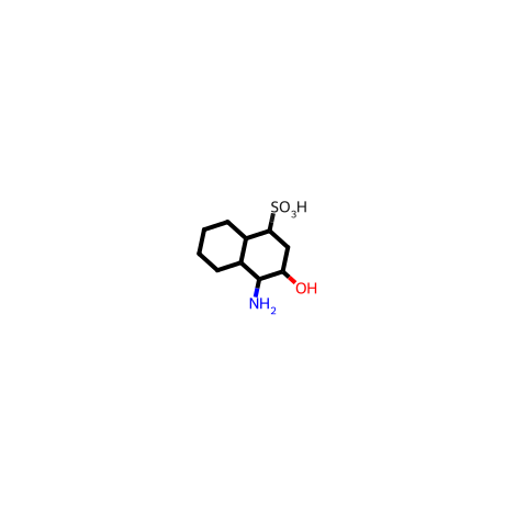 NC1C(O)CC(S(=O)(=O)O)C2CCCCC12